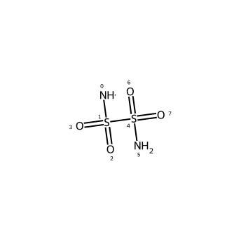 [NH]S(=O)(=O)S(N)(=O)=O